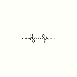 CCCC=NNC(=O)CCCCC(=O)NN=CCCC